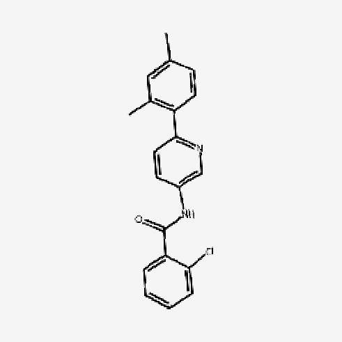 Cc1ccc(-c2ccc(NC(=O)c3ccccc3Cl)cn2)c(C)c1